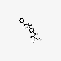 CN(C)C(=O)Nc1ccc(S(=O)(=O)NC(=O)c2ccccc2)cc1